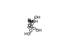 CC1CC(OP(NCCCO)n2cnnn2)C(OC(c2ccccc2)(c2ccc(CO)cc2)c2ccc(CO)cc2)O1